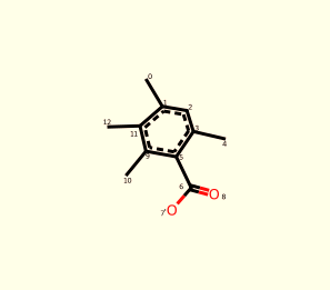 Cc1cc(C)c(C([O])=O)c(C)c1C